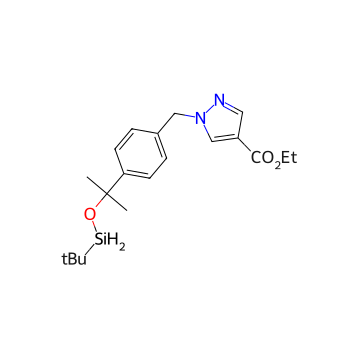 CCOC(=O)c1cnn(Cc2ccc(C(C)(C)O[SiH2]C(C)(C)C)cc2)c1